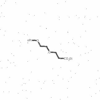 CCCOCCOCCC(=O)OCC